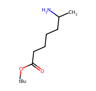 CC(N)CCCCC(=O)OC(C)(C)C